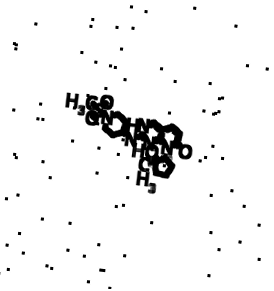 C[C@@]1(O)CCC[C@H]1n1c(=O)ccc2cnc(NC3CCN(S(C)(=O)=O)CC3)nc21